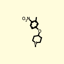 Cc1cc(OC2CCN(C)CC2)ccc1[N+](=O)[O-]